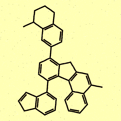 Cc1cc2c(c3ccccc13)-c1c(-c3cccc4c3C=CC4)ccc(-c3ccc4c(c3)C(C)CCC4)c1C2